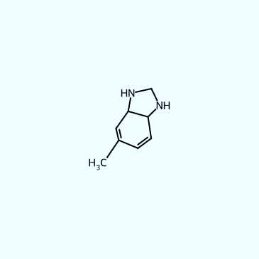 CC1=CC2NCNC2C=C1